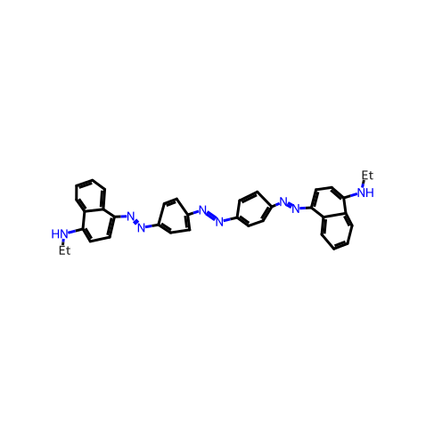 CCNc1ccc(N=Nc2ccc(/N=N/c3ccc(N=Nc4ccc(NCC)c5ccccc45)cc3)cc2)c2ccccc12